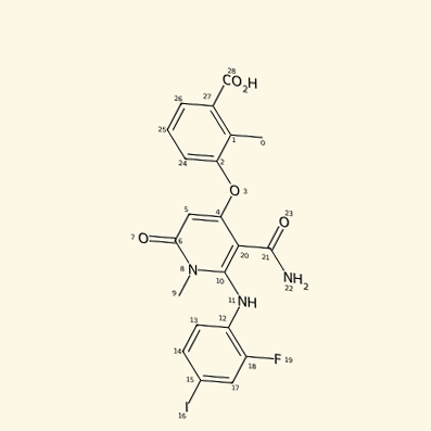 Cc1c(Oc2cc(=O)n(C)c(Nc3ccc(I)cc3F)c2C(N)=O)cccc1C(=O)O